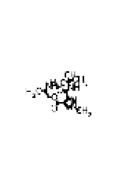 CC(=N)COC(=O)c1cn(C)nc1C(=O)NC(C)(C)C